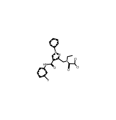 CCN(Cc1nn(-c2ccccc2)cc1C(=O)Nc1cccc(F)c1)C(=O)C(Cl)Cl